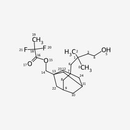 CC(C)(CCO)CC12CC3CC(CC(COC(=O)C(C)(F)F)(C3)C1)C2